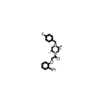 CC(C)c1ccccc1OCC(=O)N1C[C@H](C)N(Cc2ccc(F)cc2)C[C@H]1C